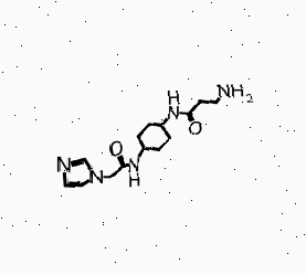 NCCC(=O)NC1CCC(NC(=O)Cn2ccnc2)CC1